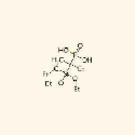 CCO[Si](OCC)(OCC)C(C)(CC)P(=O)(O)O